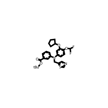 CC(C)(C)OC(=O)c1cccc(N(Cc2cncs2)c2ccc(OC(F)F)c(OC3CCCC3)c2)c1